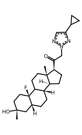 C[C@@]1(O)CC[C@]2(F)C3CC[C@]4(C)[C@@H](C(=O)Cn5ncc(C6CC6)n5)CC[C@H]4[C@@H]3CC[C@@H]2C1